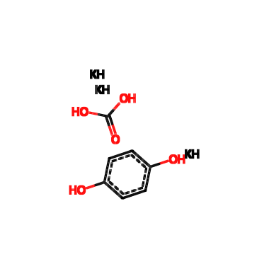 O=C(O)O.Oc1ccc(O)cc1.[KH].[KH].[KH]